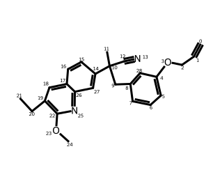 C#CCOc1cccc(CC(C)(C#N)c2ccc3cc(CC)c(OC)nc3c2)c1